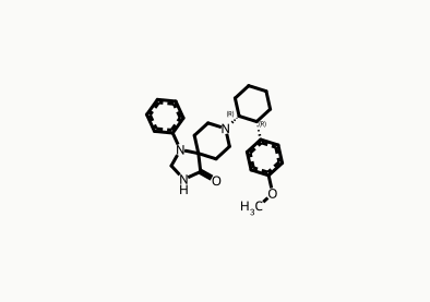 COc1ccc([C@H]2CCCC[C@H]2N2CCC3(CC2)C(=O)NCN3c2ccccc2)cc1